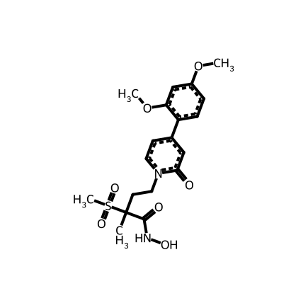 COc1ccc(-c2ccn(CCC(C)(C(=O)NO)S(C)(=O)=O)c(=O)c2)c(OC)c1